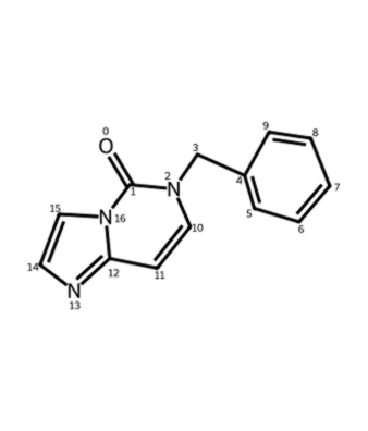 O=c1n(Cc2ccccc2)ccc2nccn12